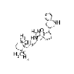 CC1(C)CCCC(C)(C)N1CCCCCC1(C(=N)N)C=CC=C(C2CNc3ccccc3C2)C1=O